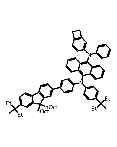 CCCCCCCCC1(CCCCCCCC)c2cc(-c3ccc(N(c4ccc(C(C)(CC)CC)cc4)c4c5ccccc5c(N(c5ccccc5)c5ccc6c(c5)CC6)c5ccccc45)cc3)ccc2-c2ccc(C(C)(CC)CC)cc21